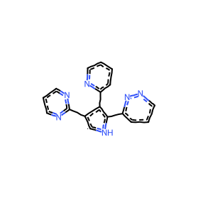 [c]1[nH]c(-c2cccnn2)c(-c2ccccn2)c1-c1ncccn1